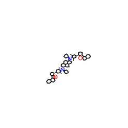 Cc1cc(-c2cccc3c2oc2ccc4ccccc4c23)cc(C)c1N(c1ccccc1)c1ccc2ccc3c(N(c4ccccc4)c4c(C)cc(-c5cccc6c5oc5ccc7ccccc7c56)cc4C)ccc4ccc1c2c43